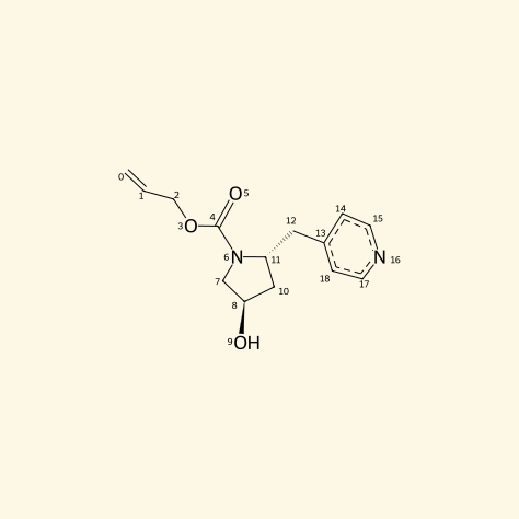 C=CCOC(=O)N1C[C@H](O)C[C@H]1Cc1ccncc1